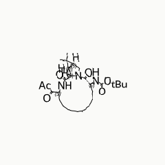 CC(=O)C(=O)[C@@H]1CCCCCCCC[C@H](NC(=O)OC(C)(C)C)C(=O)N2C[C@H]3[C@@H]([C@H]2C(=O)N1)C3(C)C